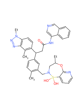 CCC1CN(Cc2cc(C(CC(=O)Nc3cncc4ccccc34)c3ccc4c(nnn4CC)c3C)ccc2C)S(O)(O)c2cccnc2O1